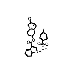 Cc1ccc(S(=O)(=O)O)cc1.O=C(OC1CC2CC3CC(C1)N2CC3=O)c1c[nH]c2ccccc12